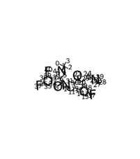 CC(C)(C)N1C[C@@H](C(=O)N2CCC(c3ccc(F)cc3C(C=O)C3CC3N3CCC3)CC2)[C@H](c2ccc(F)cc2F)C1